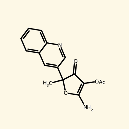 CC(=O)OC1=C(N)OC(C)(c2cnc3ccccc3c2)C1=O